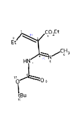 CC/C=C(C(=O)OCC)\C(=N/C)NC(=O)OC(C)(C)C